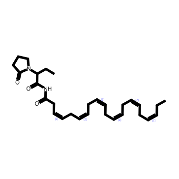 CC/C=C\C/C=C\C/C=C\C/C=C\C/C=C\C/C=C\CC(=O)NC(=O)C(CC)N1CCCC1=O